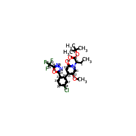 CCC(C(=O)OC(C)(C)C)n1cc(OC)c(-c2cc(Cl)ccc2-c2nnc(C(F)(F)F)o2)cc1=O